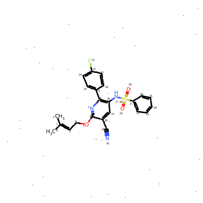 CC(C)=CCOc1nc(-c2ccc(F)cc2)c(NS(=O)(=O)c2ccccc2)cc1C#N